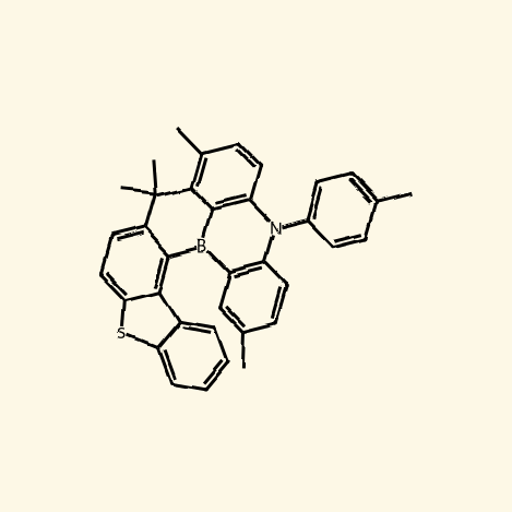 Cc1ccc(N2c3ccc(C)cc3B3c4c2ccc(C)c4C(C)(C)c2ccc4sc5ccccc5c4c23)cc1